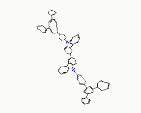 C1=CC(C2=CC(C3CCC(N4C5=CCC(C6=CC7=C(CC6)N(C6=CC=C(C8=CC(c9ccccc9)CC(C9CCCCC9)=C8)CC6)C6C=CCCC76)CC5c5ccccc54)CC3)CC(C3=CCCCC3)=C2)=CCC1